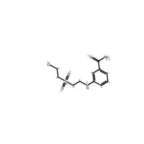 NC(=O)c1cccc(NCCS(=O)(=O)CCCl)c1